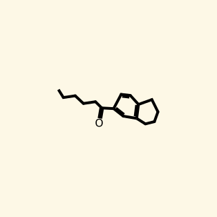 CCCCCC(=O)c1ccc2c(c1)CCCC2